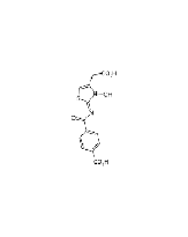 O=C(O)Cc1csc(=NC(=O)c2ccc(C(=O)O)cc2)n1O